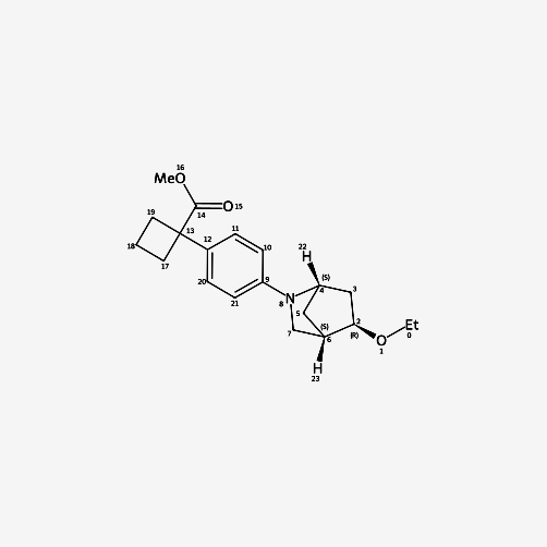 CCO[C@@H]1C[C@@H]2C[C@H]1CN2c1ccc(C2(C(=O)OC)CCC2)cc1